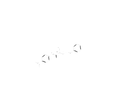 CN(C)c1ccc(NC(=O)[C@@H](N)CSCc2ccccc2)cc1